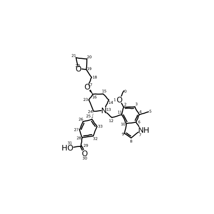 COc1cc(C)c2[nH]ccc2c1CN1CC[C@H](OCC2CCO2)C[C@H]1c1ccc(C(=O)O)cc1